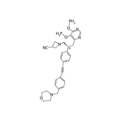 N#CC1CN(C[C@@H](Cc2ncnc(OP)c2OP)c2ccc(C#Cc3ccc(CN4CCOCC4)cc3)cc2)C1